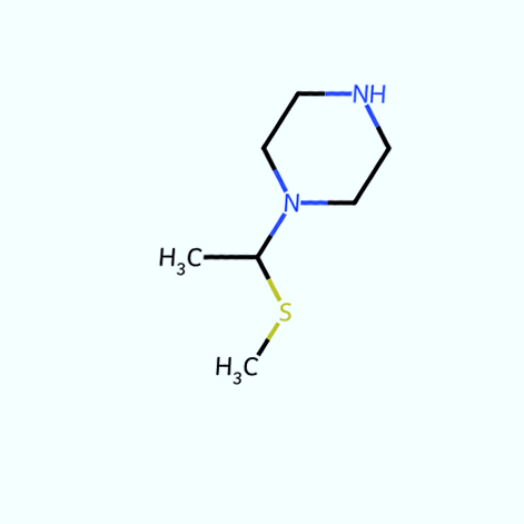 CSC(C)N1CCNCC1